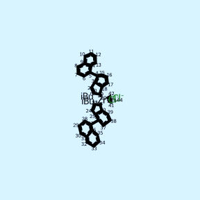 CCC(C)C1=Cc2c(-c3cccc4ccccc34)cccc2[CH]1[Zr+2]1([CH]2C(C(C)CC)=Cc3c(-c4cccc5ccccc45)cccc32)[CH2][CH2]1.[Cl-].[Cl-]